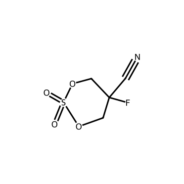 N#CC1(F)COS(=O)(=O)OC1